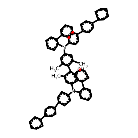 Cc1cc(N(c2ccc(-c3ccc(-c4ccccc4)cc3)cc2)c2ccccc2-c2ccccc2)cc(C)c1-c1c(C)cc(N(c2ccc(-c3ccc(-c4ccccc4)cc3)cc2)c2ccccc2-c2ccccc2)cc1C